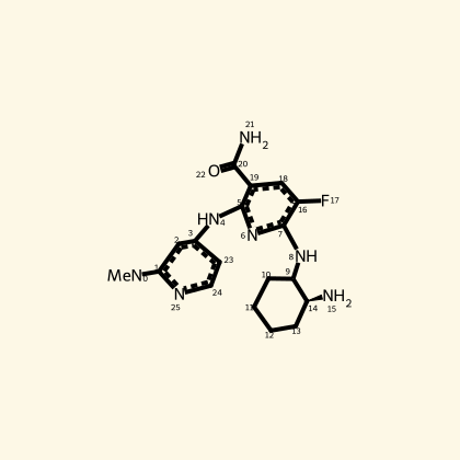 CNc1cc(Nc2nc(NC3CCCC[C@@H]3N)c(F)cc2C(N)=O)ccn1